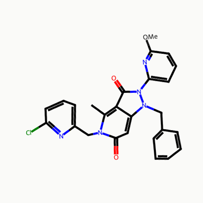 COc1cccc(-n2c(=O)c3c(C)n(Cc4cccc(Cl)n4)c(=O)cc3n2Cc2ccccc2)n1